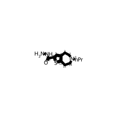 CCCN1CCc2cc(C(=O)NN)sc2CC1